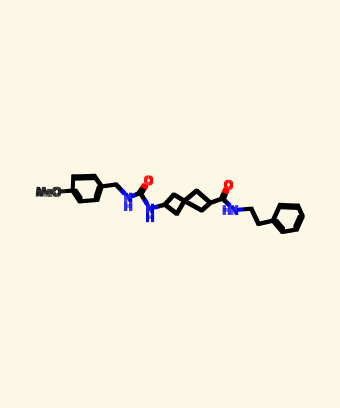 COc1ccc(CNC(=O)NC2CC3(C2)CC(C(=O)NCCc2ccccc2)C3)cc1